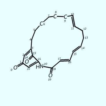 O=C1C=C2CCCCCC/C=C/CC/C=C/C=C/C(=O)NC(=C1)C2=O